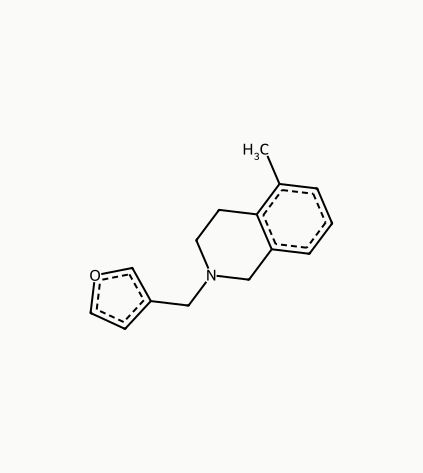 Cc1cccc2c1CCN(Cc1ccoc1)C2